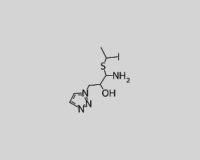 CC(I)SC(N)C(O)Cn1ccnn1